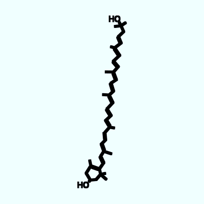 CC1=C(/C=C/C(C)=C/C=C/C(C)=C/C=C/C=C(C)/C=C/C=C(C)/C=C/C=C(C)/C=C/CC(C)(C)O)C(C)(C)CC(O)C1